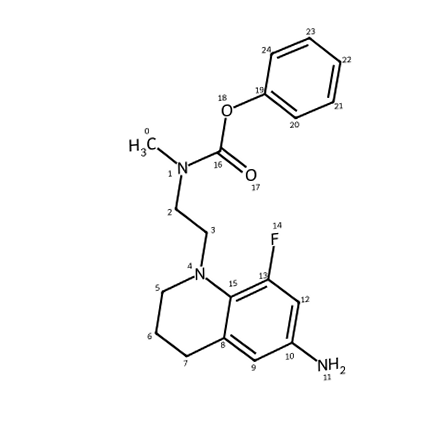 CN(CCN1CCCc2cc(N)cc(F)c21)C(=O)Oc1ccccc1